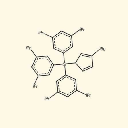 CCC(C)C1=C[C]([Si](c2cc(C(C)C)cc(C(C)C)c2)(c2cc(C(C)C)cc(C(C)C)c2)c2cc(C(C)C)cc(C(C)C)c2)C=C1